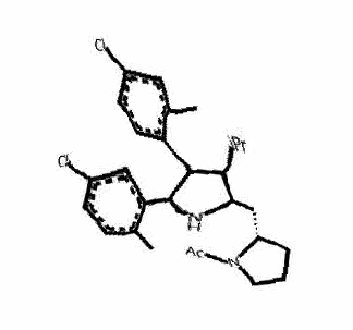 CC(=O)N1CCC[C@H]1CC1NC(c2cc(Cl)ccc2C)C(c2ccc(Cl)cc2C)C1C(C)C